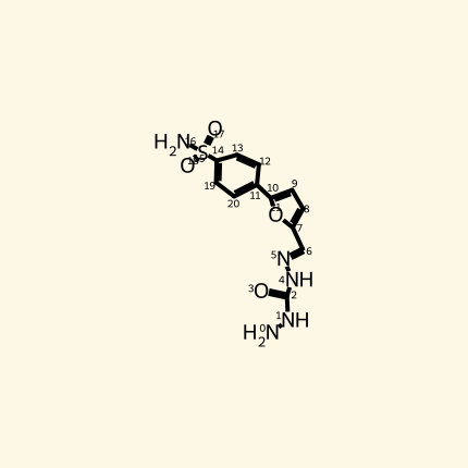 NNC(=O)NN=Cc1ccc(-c2ccc(S(N)(=O)=O)cc2)o1